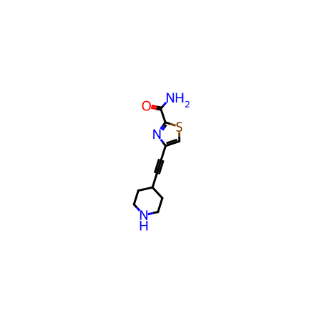 NC(=O)c1nc(C#CC2CCNCC2)cs1